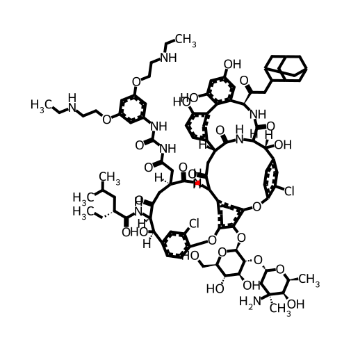 CCNCCOc1cc(NC(=O)NC(=O)C[C@@H]2CC(=O)[C@H](NC(=O)[C@H](CC)CC(C)C)[C@H](O)c3ccc(c(Cl)c3)Oc3cc4cc(c3O[C@@H]3O[C@H](CO)[C@@H](O)[C@H](O)[C@H]3O[C@H]3C[C@](C)(N)[C@H](O)[C@H](C)O3)Oc3ccc(cc3Cl)[C@@H](O)[C@@H]3NC(=O)[C@H](CC(=O)[C@@H]4NC2=O)c2ccc(O)c(c2)-c2c(O)cc(O)cc2[C@@H](C(=O)CC2C4CC5CC(C4)CC2C5)NC3=O)cc(OCCNCC)c1